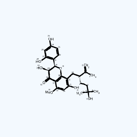 C=C(C)[C@H](CCC(C)(C)O)Cc1c(O)cc(OC)c2c1O[C@H](c1ccc(O)cc1O)[C@H](O)C2=O